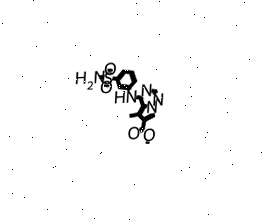 COC(=O)c1cn2ncnc(Nc3cccc(S(N)(=O)=O)c3)c2c1C